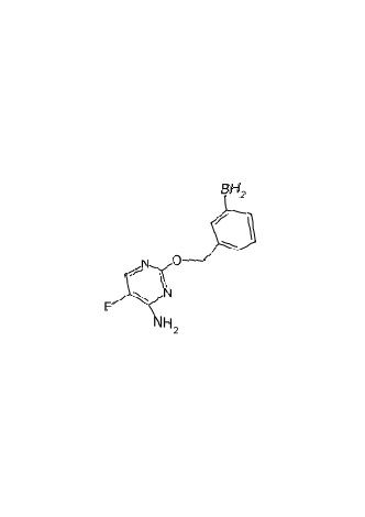 Bc1cccc(COc2ncc(F)c(N)n2)c1